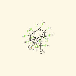 FC(F)(F)C(F)(F)C1(F)C2(F)C(F)(F)C3(F)C(F)(F)C(F)(C2(F)F)C(F)(F)C1(C(F)(F)C(F)(F)F)C3(F)F